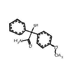 COc1ccc(C(S)(C(N)=O)c2ccccc2)cc1